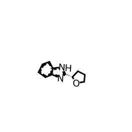 c1ccc2[nH]c([C@@H]3CCCO3)nc2c1